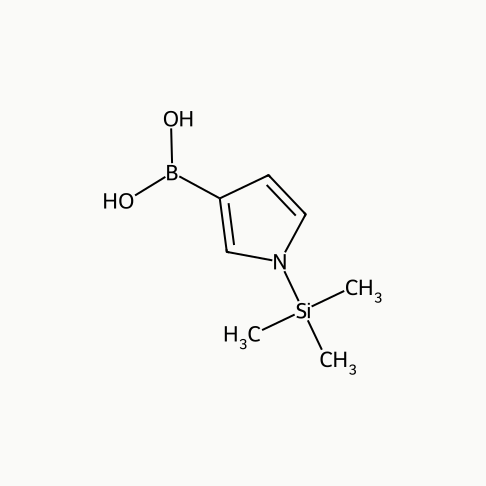 C[Si](C)(C)n1ccc(B(O)O)c1